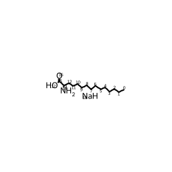 CCCCCCCCCCCCCC(N)C(=O)O.[NaH]